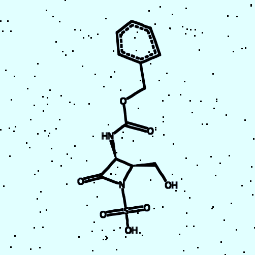 O=C(N[C@@H]1C(=O)N(S(=O)(=O)O)[C@@H]1CO)OCc1ccccc1